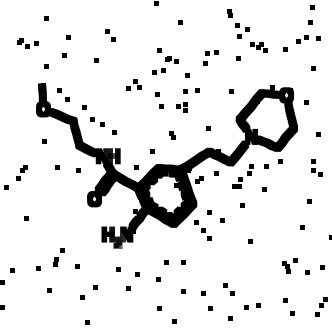 COCCNC(=O)c1cc(CCN2CCOCC2)ccc1N